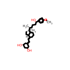 COc1ccc([C@@H](O)CCC[C@@H](C)[C@H]2CC[C@H]3/C(=C/C=C4C[C@@H](O)C[C@H](O)C4)CCC[C@]23C)cc1